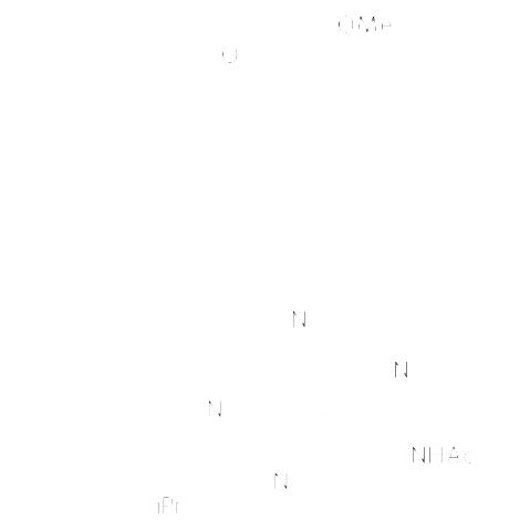 COc1ccc(Cn2cnc(NC(C)=O)c3nc(C(C)C)nc2-3)cc1OC1CCCC1